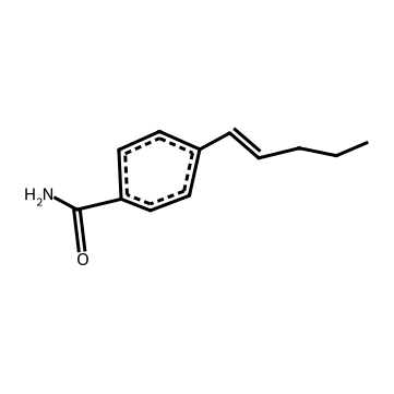 CCC/C=C/c1ccc(C(N)=O)cc1